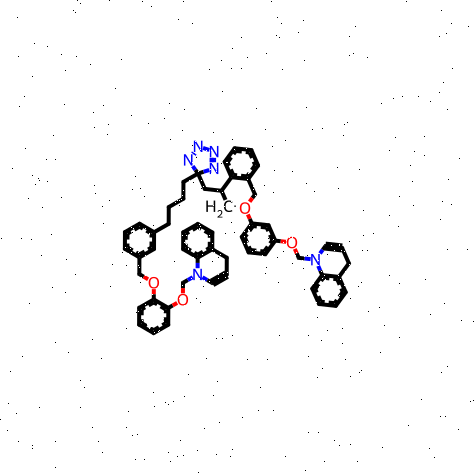 [CH2]C(CC1(CCCCc2cccc(COc3ccccc3OCN3C#CCc4ccccc43)c2)N=NN=N1)c1ccccc1COc1cccc(OCN2C#CCc3ccccc32)c1